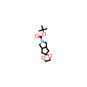 CC(C)(C)OC(=O)N1CC2CC3(CC2C1)OCCO3